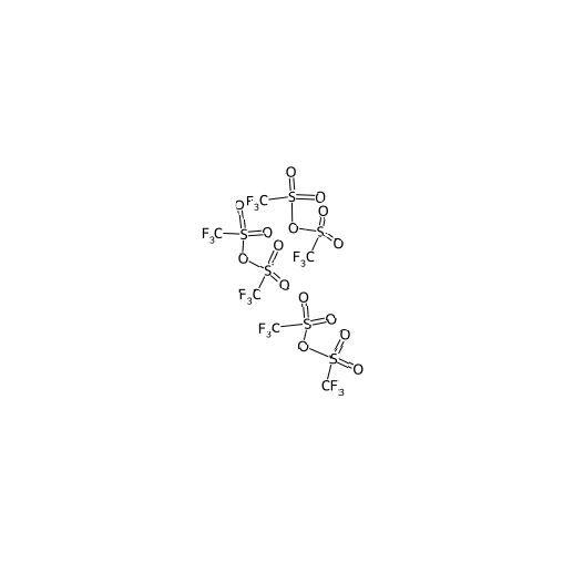 O=S(=O)(OS(=O)(=O)C(F)(F)F)C(F)(F)F.O=S(=O)(OS(=O)(=O)C(F)(F)F)C(F)(F)F.O=S(=O)(OS(=O)(=O)C(F)(F)F)C(F)(F)F